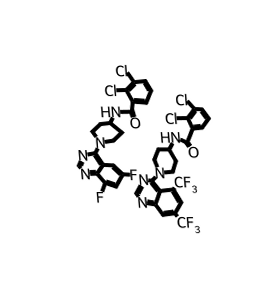 O=C(NC1CCN(c2ncnc3c(F)cc(F)cc23)CC1)c1cccc(Cl)c1Cl.O=C(NC1CCN(c2ncnc3cc(C(F)(F)F)cc(C(F)(F)F)c23)CC1)c1cccc(Cl)c1Cl